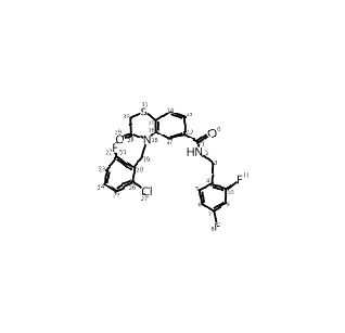 O=C(NCc1ccc(F)cc1F)c1ccc2c(c1)N(Cc1c(F)cccc1Cl)C(=O)CS2